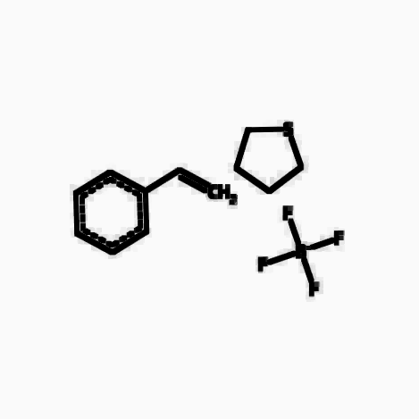 C1CCSC1.C=Cc1ccccc1.F[B-](F)(F)F